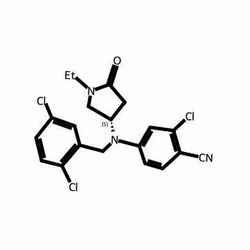 CCN1C[C@@H](N(Cc2cc(Cl)ccc2Cl)c2ccc(C#N)c(Cl)c2)CC1=O